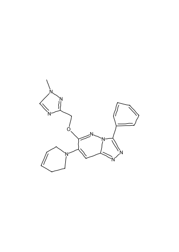 Cn1cnc(COc2nn3c(-c4ccccc4)nnc3cc2N2CC=CCC2)n1